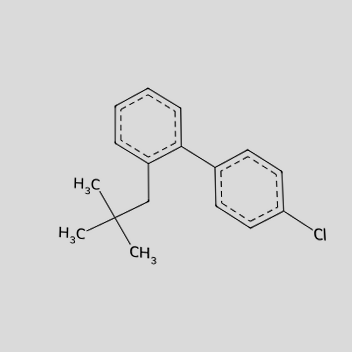 CC(C)(C)Cc1ccccc1-c1ccc(Cl)cc1